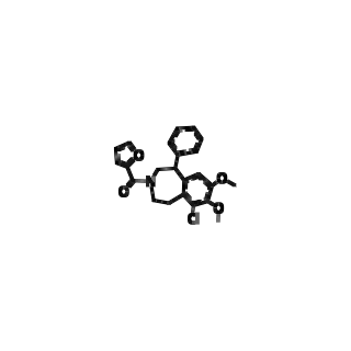 COc1cc2c(c(Cl)c1OC)CCN(C(=O)c1ccco1)CC2c1ccccc1